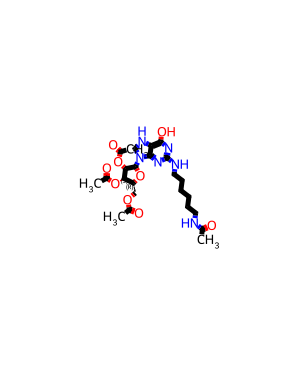 CC(=O)NCCCCCCNc1nc(O)c2c(n1)N(C1O[C@H](COC(C)=O)[C@H](OC(C)=O)C1OC(C)=O)CN2